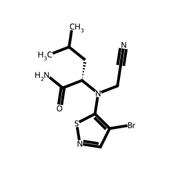 CC(C)C[C@@H](C(N)=O)N(CC#N)c1sncc1Br